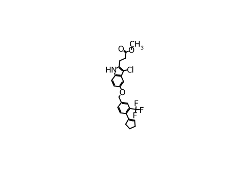 COC(=O)CCc1[nH]c2ccc(OCc3ccc(C4=CCCC4)c(C(F)(F)F)c3)cc2c1Cl